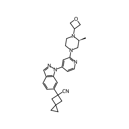 C[C@H]1CN(c2cc(-n3ncc4ccc(C5(C#N)CC6(CC6)C5)cc43)ccn2)CCN1C1COC1